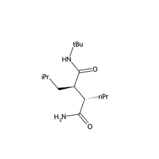 CCC[C@H](C(N)=O)[C@@H](CC(C)C)C(=O)NC(C)(C)C